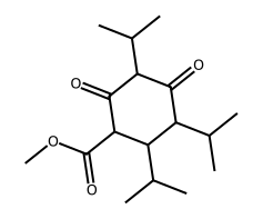 COC(=O)C1C(=O)C(C(C)C)C(=O)C(C(C)C)C1C(C)C